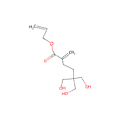 C=CCOC(=O)C(=C)CCC(CO)(CO)CO